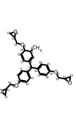 CC1C=C(C(c2ccc(OCC3CO3)cc2)c2ccc(OCC3CO3)cc2)C=CC1OCC1CO1